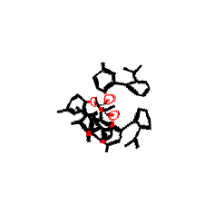 CC1=C(C)C(C)(C)[C]([Ti]([O]c2ccc(C)cc2-c2ccccc2C(C)C)([O]c2ccc(C)cc2-c2ccccc2C(C)C)[O]c2ccc(C)cc2-c2ccccc2C(C)C)=C1C